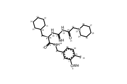 COc1cc(CNC(=O)[C@@H](CC2CCCCC2)NC(=N)NC(=O)CN2CCCCC2)ccc1F